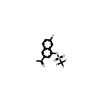 CC(=O)c1cc(OS(=O)(=O)C(F)(F)F)c2cc(F)ccc2c1